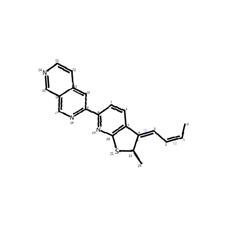 C/C=C\C=C1\c2ccc(-c3cc4ccncc4cn3)nc2SC1C